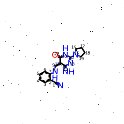 N#Cc1ccccc1N/C=C1\C(=N)N=C(N2CCCC2)NC1=O